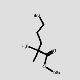 CCCCOC(=O)C(C)(P)CCCC(C)CC